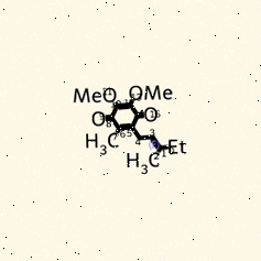 CC/C(C)=C/CC1=C(C)C(=O)C(OC)=C(OC)C1=O